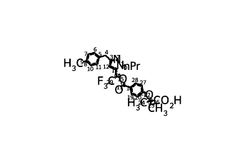 CCCn1nc(Cc2ccc(C)cc2)cc1[C@@H](OC(=O)c1ccc(OC(C)(C)C(=O)O)cc1)C(F)(F)F